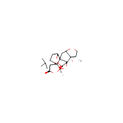 C[C@@H]1COC2CC34C5C[C@@H](C(C)(C)C)C36CC(=O)O[C@H]6OC4(C(=O)O5)[C@]21O